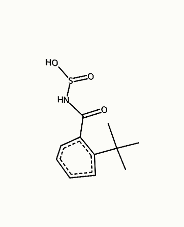 CC(C)(C)c1ccccc1C(=O)NS(=O)O